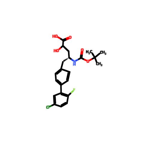 CC(C)(C)OC(=O)N[C@H](Cc1ccc(-c2cc(Cl)ccc2F)cc1)CC(O)C(=O)O